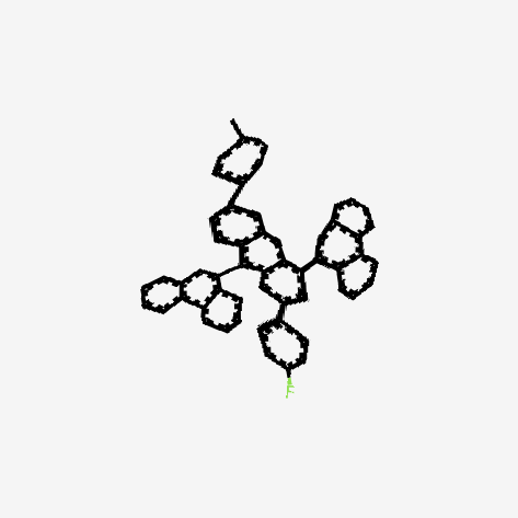 Cc1ccc(-c2ccc3c(-c4cc5ccccc5c5ccccc45)c4cc(-c5ccc(F)cc5)cc(-c5cc6ccccc6c6ccccc56)c4cc3c2)cc1